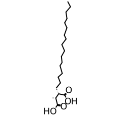 CCCCCCCCCCCCCCCCC[C@@H]([CH]C(=O)O)C(=O)O